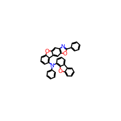 c1ccc(-c2nc3cc4oc5cccc(N(c6ccccc6)c6cccc7c6oc6ccccc67)c5c4cc3o2)cc1